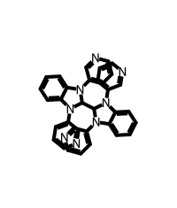 c1cncc(N2c3ccccc3N(c3cccnc3)C2C2N(c3cccnc3)c3ccccc3N2c2cccnc2)c1